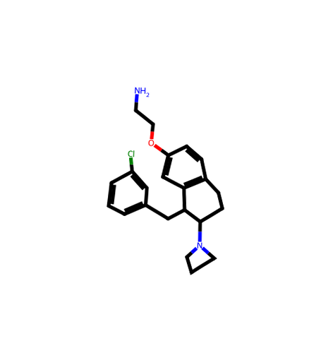 NCCOc1ccc2c(c1)C(Cc1cccc(Cl)c1)C(N1CCC1)CC2